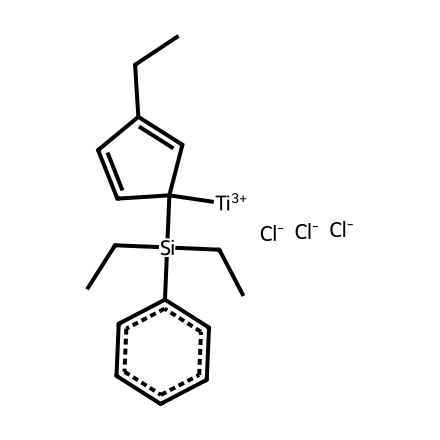 CCC1=C[C]([Ti+3])([Si](CC)(CC)c2ccccc2)C=C1.[Cl-].[Cl-].[Cl-]